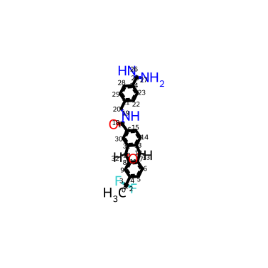 CC(F)(F)c1ccc2c(c1)[C@H]1O[C@@H]2c2ccc(C(=O)NCc3ccc(C(=N)N)cc3)cc21